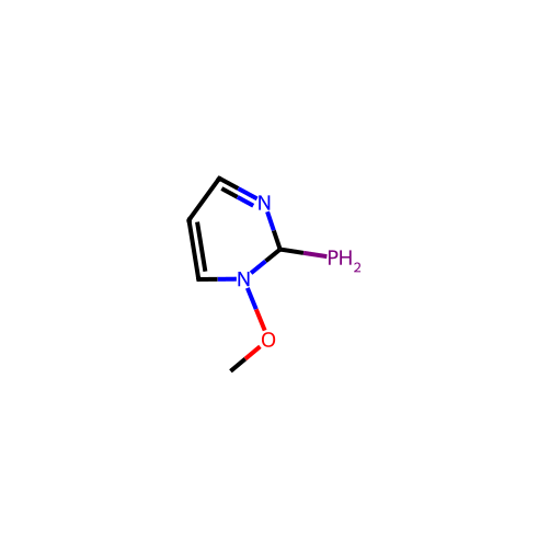 CON1C=CC=NC1P